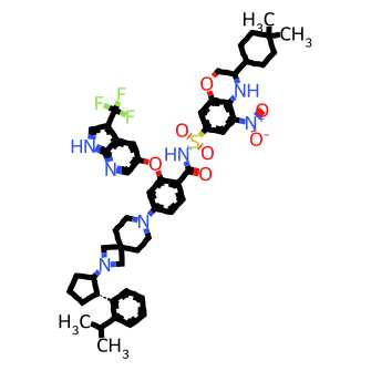 CC(C)c1ccccc1[C@@H]1CCCC1N1CC2(CCN(c3ccc(C(=O)NS(=O)(=O)c4cc5c(c([N+](=O)[O-])c4)NC(C4CCC(C)(C)CC4)CO5)c(Oc4cnc5[nH]cc(C(F)(F)F)c5c4)c3)CC2)C1